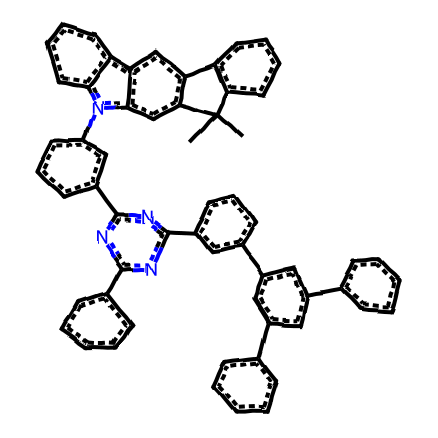 CC1(C)c2ccccc2-c2cc3c4ccccc4n(-c4cccc(-c5nc(-c6ccccc6)nc(-c6cccc(-c7cc(-c8ccccc8)cc(-c8ccccc8)c7)c6)n5)c4)c3cc21